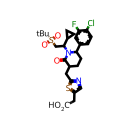 CC(C)(C)S(=O)(=O)CC(C1CC1)N1C(=O)C(Cc2ncc(CC(=O)O)s2)CCC1c1ccc(Cl)c(F)c1